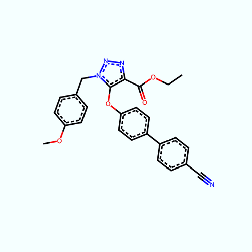 CCOC(=O)c1nnn(Cc2ccc(OC)cc2)c1Oc1ccc(-c2ccc(C#N)cc2)cc1